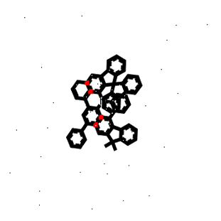 CC1(C)c2ccccc2-c2c(-c3ccccc3N(c3ccc(-c4ccccc4)cc3C3=CCCC=C3)c3cccc4c3C3(c5ccccc5-c5ccccc53)c3ccccc3-4)cccc21